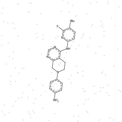 CC(C)(C)c1ccc(Nc2ncnc3c2CCN(c2ccc(N)cc2)C3)nc1F